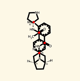 COc1cccc(C(=O)N[C@H]2C[C@H]3CC[C@@H](C2)N3c2ccc(C(=O)N[C@@H]3CCNC3)cn2)c1C